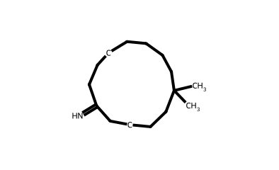 CC1(C)CCCCCCCC(=N)CCCC1